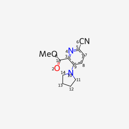 COC(=O)c1nc(C#N)ccc1N1CCCC1